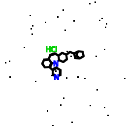 C1=CC2CC(CC3CC4CCC3C4)CCC2n2c3c(c4cnccc42)CCC=C13.Cl